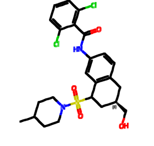 CC1CCN(S(=O)(=O)C2C[C@H](CO)Cc3ccc(NC(=O)c4c(Cl)cccc4Cl)cc32)CC1